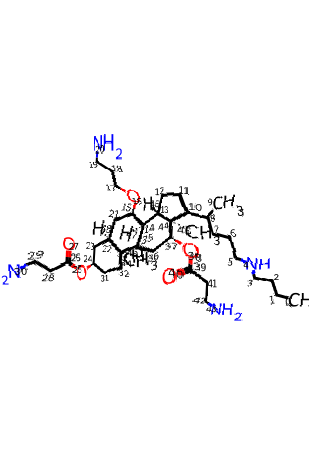 CCCCNCCCC(C)C1CC[C@H]2[C@@H]3[C@H](OCCCN)C[C@@H]4C[C@H](OC(=O)CCN)CC[C@]4(C)[C@H]3C[C@H](OC(=O)CCN)[C@]12C